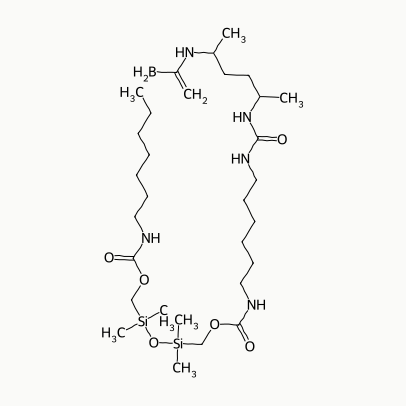 BC(=C)NC(C)CCC(C)NC(=O)NCCCCCCNC(=O)OC[Si](C)(C)O[Si](C)(C)COC(=O)NCCCCCCC